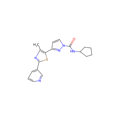 Cc1nc(-c2cccnc2)sc1-c1ccn(C(=O)NC2CCCC2)n1